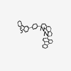 c1ccc2c(c1)-c1cccc3c(-c4ccc5ccc6ccc(-c7ccc(-c8ccc9sc%10ccccc%10c9c8)cc7)nc6c5n4)ccc-2c13